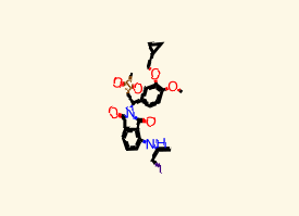 C=C(CI)Nc1cccc2c1C(=O)N(C(CS(C)(=O)=O)c1ccc(OC)c(OCC3CC3)c1)C2=O